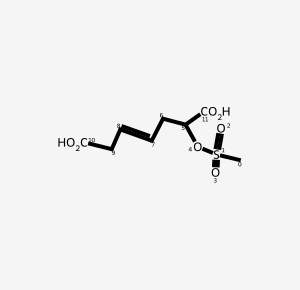 CS(=O)(=O)OC(C/C=C/CC(=O)O)C(=O)O